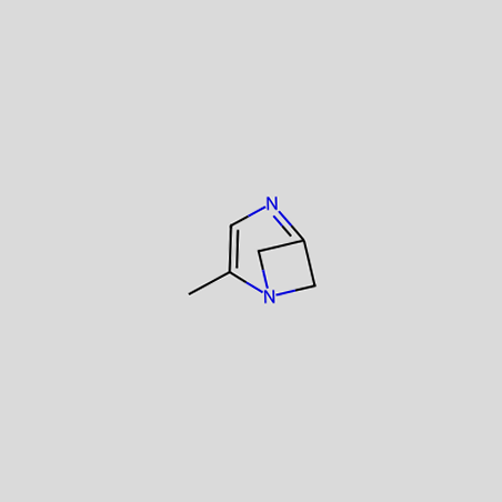 CC1=CN=C2CN1C2